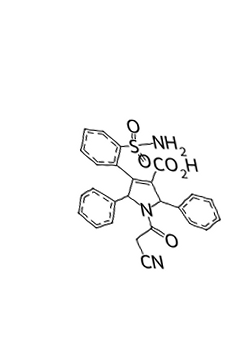 N#CCC(=O)N1C(c2ccccc2)C(C(=O)O)=C(c2ccccc2S(N)(=O)=O)C1c1ccccc1